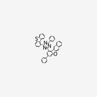 c1ccc(-c2cc(-c3nc(-c4ccccc4)nc(-c4cccc5sc6ccccc6c45)n3)c3c(c2)oc2cc4ccccc4cc23)cc1